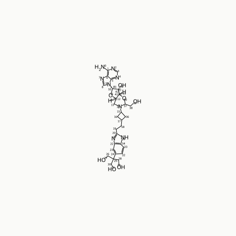 Nc1ncnc2c1ncn2[C@@H]1O[C@@H]2CN(C3CC(CCc4nc5cc(C(CO)(CO)CO)ccc5[nH]4)C3)C(CO)O[C@H]2[C@H]1O